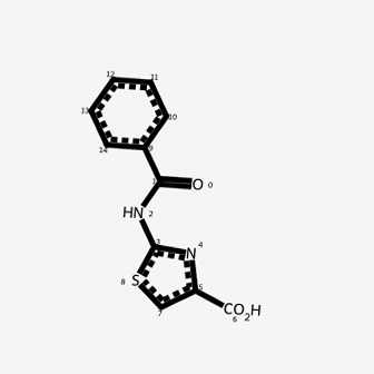 O=C(Nc1nc(C(=O)O)cs1)c1ccccc1